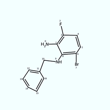 Nc1c(F)ccc(Br)c1NCc1ccccc1